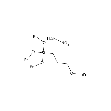 CCCOCCC[Si](OCC)(OCC)OCC.O=[N+]([O-])[SiH3]